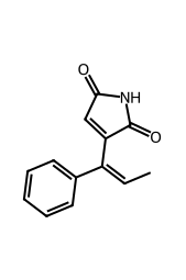 CC=C(C1=CC(=O)NC1=O)c1ccccc1